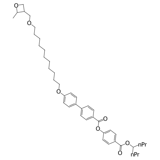 CCCC(CCC)OC(=O)c1ccc(OC(=O)c2ccc(-c3ccc(OCCCCCCCCCCCOCC4COC4C)cc3)cc2)cc1